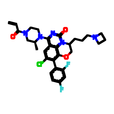 C=CC(=O)N1CCN(c2nc(=O)n3c4c(c(-c5ccc(F)cc5F)c(Cl)cc24)OCC3CCCN2CCC2)[C@@H](C)C1